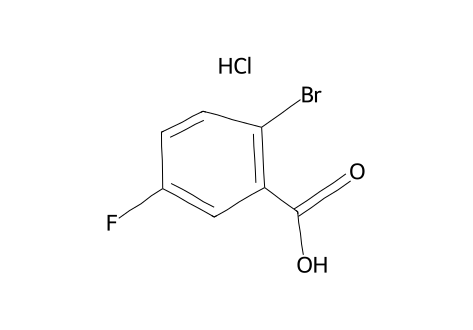 Cl.O=C(O)c1cc(F)ccc1Br